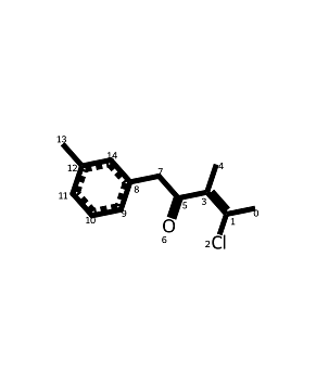 C/C(Cl)=C(\C)C(=O)Cc1cccc(C)c1